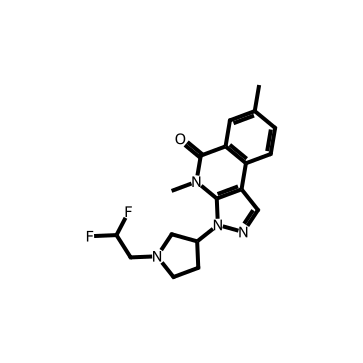 Cc1ccc2c(c1)c(=O)n(C)c1c2cnn1C1CCN(CC(F)F)C1